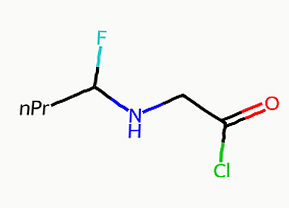 CCCC(F)NCC(=O)Cl